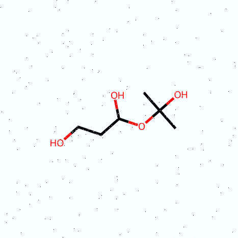 CC(C)(O)OC(O)CCO